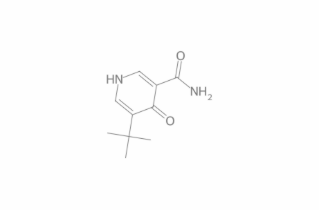 CC(C)(C)c1c[nH]cc(C(N)=O)c1=O